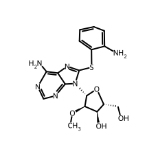 CO[C@@H]1[C@H](O)[C@@H](CO)O[C@H]1n1c(Sc2ccccc2N)nc2c(N)ncnc21